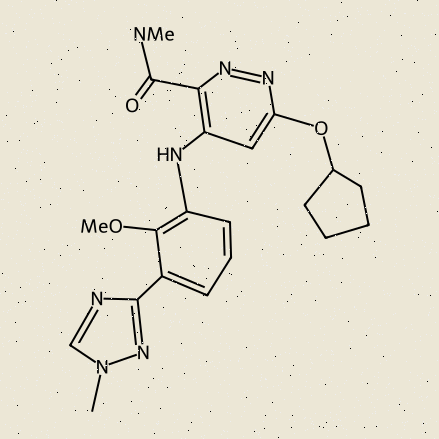 CNC(=O)c1nnc(OC2CCCC2)cc1Nc1cccc(-c2ncn(C)n2)c1OC